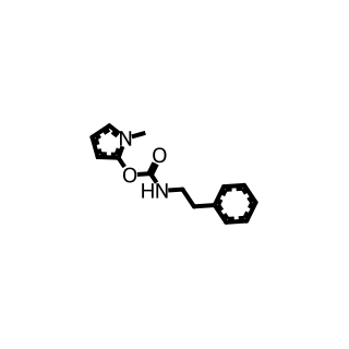 Cn1cccc1OC(=O)NCCc1ccccc1